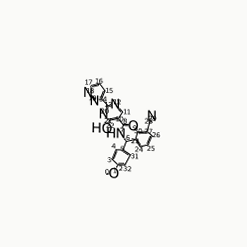 COc1ccc([C@@H](NC(=O)c2cnc(-c3cccnn3)nc2O)c2cccc(C#N)c2)cc1